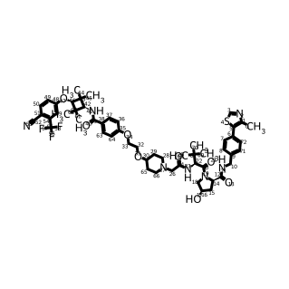 Cc1ncsc1-c1ccc(CNC(=O)[C@H]2C[C@@H](O)CN2C(=O)[C@@H](NC(=O)CN2CCC(OCCOc3ccc(C(=O)N[C@H]4C(C)(C)[C@H](Oc5ccc(C#N)c(C(F)(F)F)c5)C4(C)C)cc3)CC2)C(C)(C)C)cc1